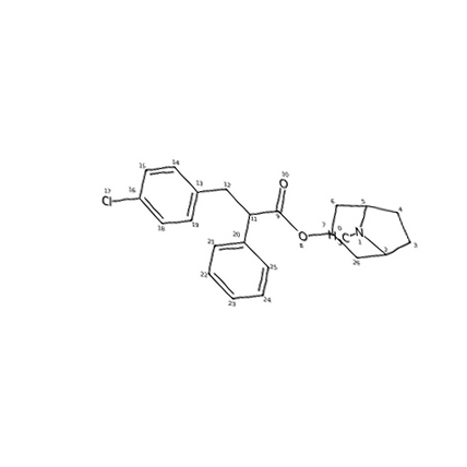 CN1C2CCC1CC(OC(=O)C(Cc1ccc(Cl)cc1)c1ccccc1)C2